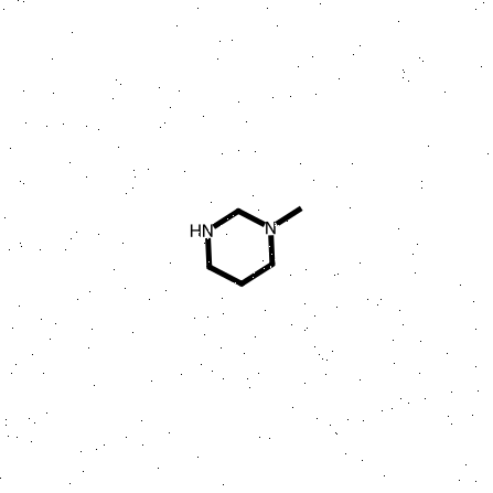 CN1CCCNC1